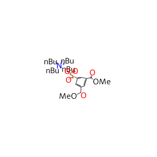 CCCC[N+](CCCC)(CCCC)CCCC.COC(=O)c1cc(C(=O)OC)cc(S(=O)(=O)[O-])c1